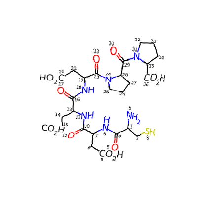 NC(CS)C(=O)NC(CC(=O)O)C(=O)NC(CC(=O)O)C(=O)NC(CC(=O)O)C(=O)N1CCCC1C(=O)N1CCCC1C(=O)O